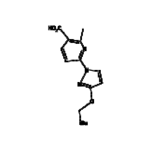 Cc1nc(-n2ccc(OCC(C)(C)C)n2)ccc1C(=O)O